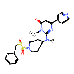 CCN(c1nc(-c2ccncc2)cc(=O)n1C)C1CCCN(S(=O)(=O)Cc2ccccc2)CC1